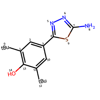 CC(C)(C)c1cc(-c2nnc(N)s2)cc(C(C)(C)C)c1O